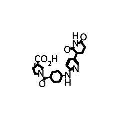 O=C1CCC(c2ccc(N[C@H]3CC[C@H](C(=O)N4CC[C@@H](C(=O)O)C4)CC3)nc2)C(=O)N1